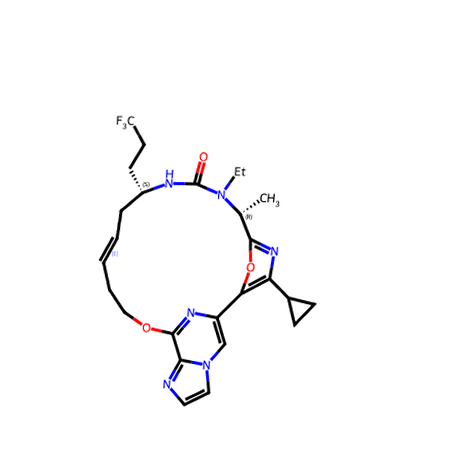 CCN1C(=O)N[C@@H](CCC(F)(F)F)C/C=C/CCOc2nc(cn3ccnc23)-c2oc(nc2C2CC2)[C@H]1C